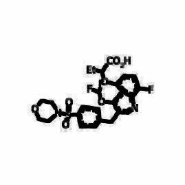 CCC(Oc1ccc(F)c2ncc(Cc3ccc(S(=O)(=O)N4CCOCC4)cc3)c(OC(F)F)c12)C(=O)O